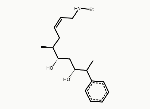 CCNC/C=C\C[C@H](C)[C@@H](O)C[C@@H](O)C(C)c1ccccc1